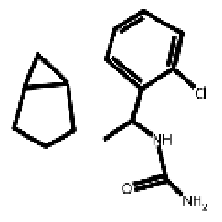 C1CC2CC2C1.CC(NC(N)=O)c1ccccc1Cl